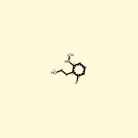 [CH]Nc1cccc(F)c1CCO